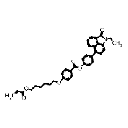 C=CC(=O)OCCCCCCOc1ccc(C(=O)Oc2ccc(-c3ccc4c5c(cccc35)C(=O)N4CC)cc2)cc1